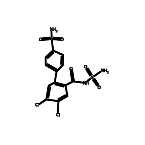 NS(=O)(=O)NC(=O)c1cc(Cl)c(Cl)cc1-c1ccc(S(N)(=O)=O)cc1